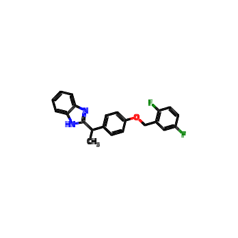 CC(c1ccc(OCc2cc(F)ccc2F)cc1)c1nc2ccccc2[nH]1